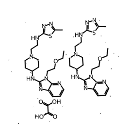 CCOCCn1c(NC2CCN(CCNc3nnc(C)s3)CC2)nc2cccnc21.CCOCCn1c(NC2CCN(CCNc3nnc(C)s3)CC2)nc2cccnc21.O=C(O)C(=O)O